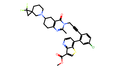 COC(=O)c1csc2c(-c3cc(Cl)ccc3C#CCn3c(C)nc4c(c3=O)CC(N3CCCC5(C3)CC5(F)F)CC4)ccnc12